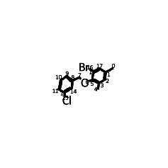 Cc1cc(C)c(OCc2cccc(Cl)c2)c(Br)c1